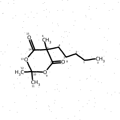 CCCCCC1(C)C(=O)OC(C)(C)OC1=O